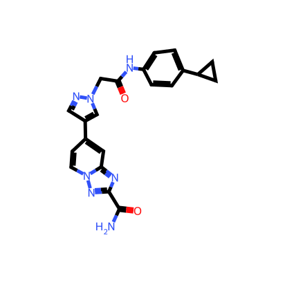 NC(=O)c1nc2cc(-c3cnn(CC(=O)Nc4ccc(C5CC5)cc4)c3)ccn2n1